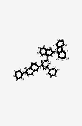 c1ccc(-c2ccc3cc(-c4nc(-c5ccccc5)nc(-c5cc(-n6c7ccccc7c7ccccc76)cc6ccccc56)n4)ccc3c2)cc1